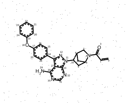 C=CC(=O)N1CC2CC1CC2n1nc(-c2ccc(Oc3ccccc3)cc2)c2c(N)ncnc21